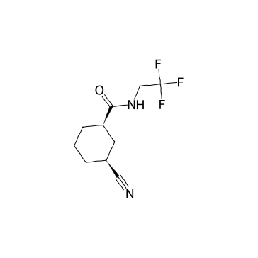 N#C[C@H]1CCC[C@@H](C(=O)NCC(F)(F)F)C1